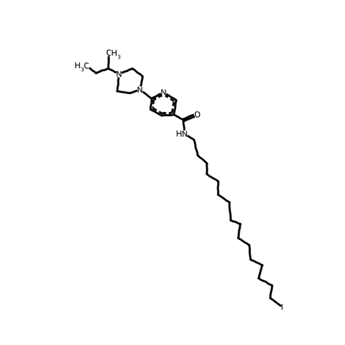 CCC(C)N1CCN(c2ccc(C(=O)NCCCCCCCCCCCCCCCCI)cn2)CC1